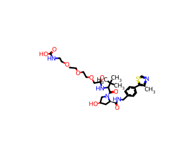 Cc1ncsc1-c1ccc(CNC(=O)[C@H]2C[C@@H](O)CN2C(=O)C(NC(=O)COCCOCCOCCNC(=O)O)C(C)(C)C)cc1